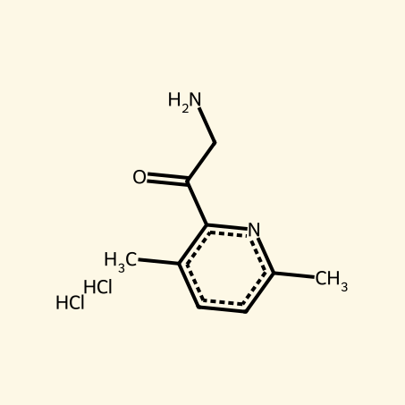 Cc1ccc(C)c(C(=O)CN)n1.Cl.Cl